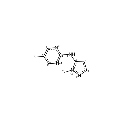 Cc1cnc(Nc2ccnn2C)nc1